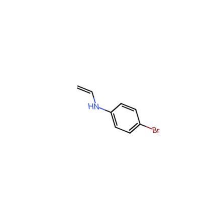 C=CNc1ccc(Br)cc1